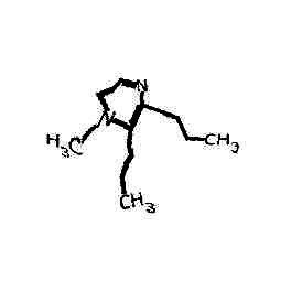 CCCC1=C(CCC)N(C)CC=N1